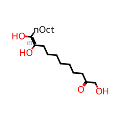 CCCCCCCC/C(O)=C(/O)CCCCCCCC(=O)CO